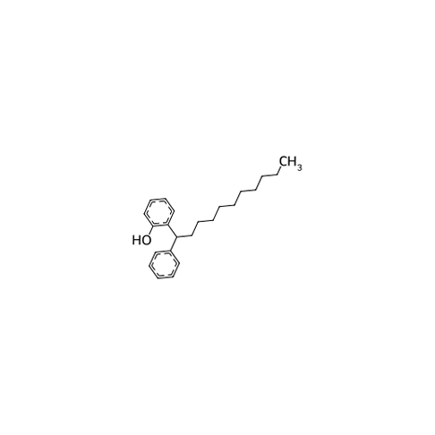 CCCCCCCCCCC(c1ccccc1)c1ccccc1O